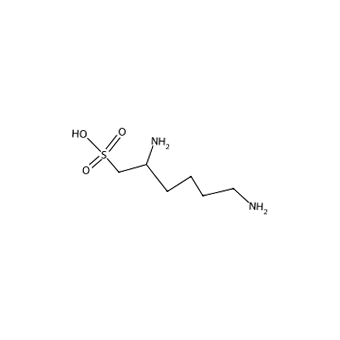 NCCCCC(N)CS(=O)(=O)O